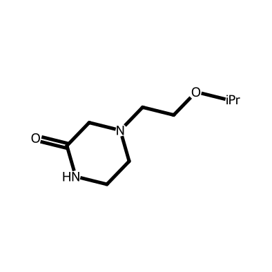 CC(C)OCCN1CCNC(=O)C1